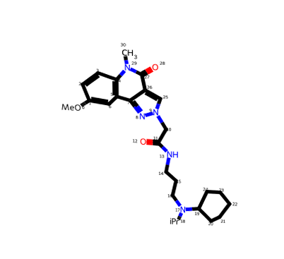 COc1ccc2c(c1)c1nn(CC(=O)NCCCN(C(C)C)C3CCCCC3)cc1c(=O)n2C